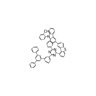 Cc1ccccc1-n1c2ccccc2c2cc(-c3ccc4sc5cccc(-c6nc(-c7ccccc7)nc(-c7cccc(-c8cc(-c9ccccc9)cc(-c9ccccc9)c8)c7)n6)c5c4c3)ccc21